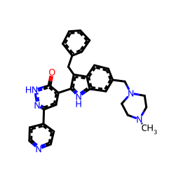 CN1CCN(Cc2ccc3c(Cc4ccccc4)c(-c4cc(-c5ccncc5)n[nH]c4=O)[nH]c3c2)CC1